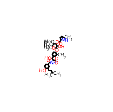 CO[C@@H]1[C@@H](OC(=O)c2ccc(C)[nH]2)[C@@H](O)[C@H](Oc2ccc3c(O)c(NC(=O)c4ccc(O)c(CC=C(C)C)c4)c(=O)oc3c2C)OC1(C)C